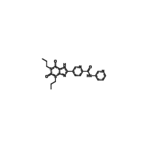 CCCn1c(=O)c2[nH]c(-c3ccc(C(=O)Nc4cccnc4)nc3)nc2n(CCC)c1=O